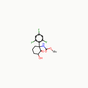 CC(C)(C)OC(=O)NC1(c2c(F)cc(F)cc2F)CCCC(O)C1=O